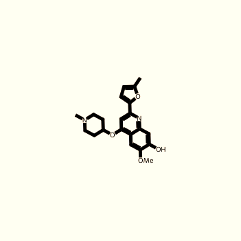 COc1cc2c(OC3CCN(C)CC3)cc(-c3ccc(C)o3)nc2cc1O